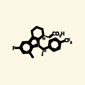 Cc1cc(F)cc2c3c(n([C@@H](C)c4ccc(C(F)(F)F)cc4)c12)[C@@H](CC(=O)O)CCC3